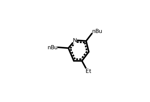 [CH2]Cc1cc(CCCC)nc(CCCC)c1